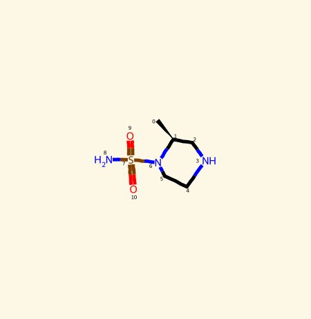 C[C@H]1CNCCN1S(N)(=O)=O